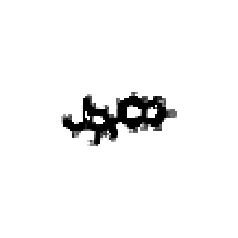 CCCC(C)(c1ccc2sccc2c1)C(C)NCC